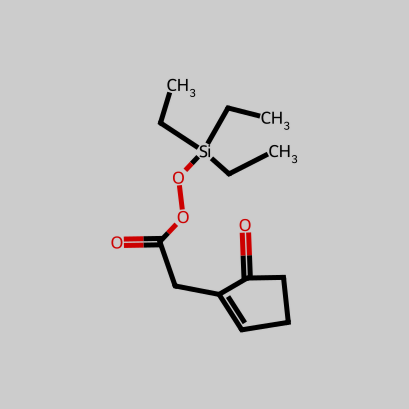 CC[Si](CC)(CC)OOC(=O)CC1=CCCC1=O